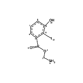 O=C(OC[SiH3])c1cccc(O)c1I